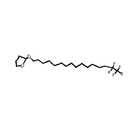 FC(F)(F)C(F)(F)CCCCCCCCCCCCCCOC1CCCO1